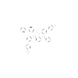 CC(C)(C)c1ccc(-c2cccc(N3c4cccc5c4B(c4ccc(-c6ccc(C(C)(C)C)cc6)cc4N5c4ccccc4)C4Oc5ccc(-c6ccccc6)cc5C43)c2)cc1